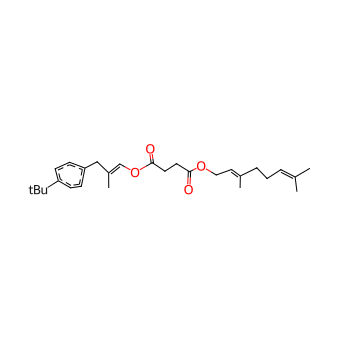 CC(C)=CCC/C(C)=C/COC(=O)CCC(=O)O/C=C(\C)Cc1ccc(C(C)(C)C)cc1